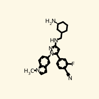 Cn1ccc2cc(-n3nc(NCC4CCC[C@H](N)C4)cc3-c3ccc(C#N)c(F)c3)ccc21